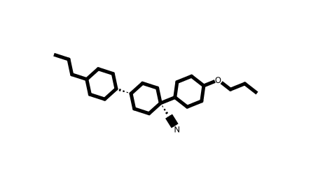 CCCOC1CCC([C@]2(C#N)CC[C@@H](C3CCC(CCC)CC3)CC2)CC1